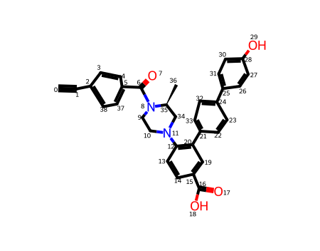 C#Cc1ccc(C(=O)N2CCN(c3ccc(C(=O)O)cc3-c3ccc(-c4ccc(O)cc4)cc3)C[C@@H]2C)cc1